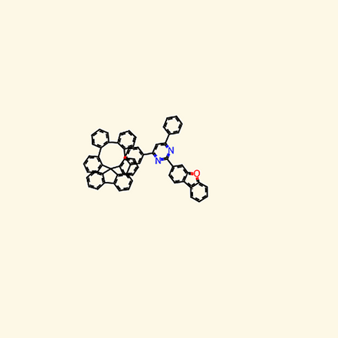 c1ccc(-c2cc(-c3cccc(-c4cccc5c4C4(c6ccccc6-c6ccccc6-c6ccccc6-c6ccccc64)c4ccccc4-5)c3)nc(-c3ccc4c(c3)oc3ccccc34)n2)cc1